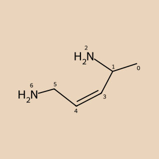 CC(N)/C=C\CN